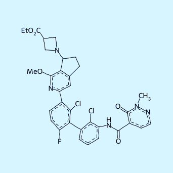 CCOC(=O)C1CN(C2CCc3cc(-c4ccc(F)c(-c5cccc(NC(=O)c6ccnn(C)c6=O)c5Cl)c4Cl)nc(OC)c32)C1